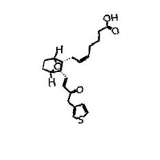 O=C(O)CCC/C=C\C[C@@H]1[C@H](/C=C/C(=O)Cc2ccsc2)[C@@H]2CC[C@H]1O2